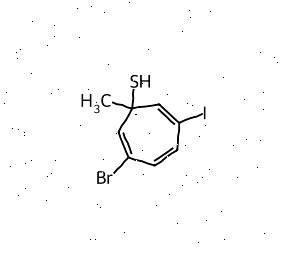 CC1(S)C=C(Br)C=CC(I)=C1